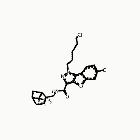 CC1(C)C2CCC(CNC(=O)c3nn(CCCCCCl)c4c3oc3cc(Cl)ccc34)C1C2